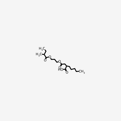 CCCCCC(CC(=O)OCCCOC(=O)C(C)CC)C(=O)O